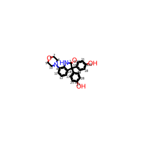 O=C1Nc2c(N3CCOCC3)cccc2C1(c1ccc(O)cc1)c1ccc(O)cc1